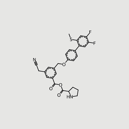 CSc1cc(F)c(F)cc1-c1ccc(OCc2cc(CC#N)cc(C(=O)OC(=O)C3CCCN3)c2)cc1